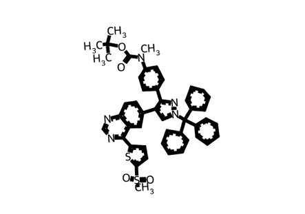 CN(C(=O)OC(C)(C)C)c1ccc(-c2nn(C(c3ccccc3)(c3ccccc3)c3ccccc3)cc2-c2ccc3ncnc(-c4ccc(S(C)(=O)=O)s4)c3c2)cc1